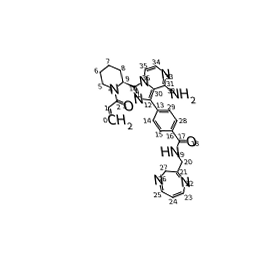 C=CC(=O)N1CCCC[C@H]1c1nc(-c2ccc(C(=O)NCC3=NC=CC=NC3)cc2)c2c(N)nccn12